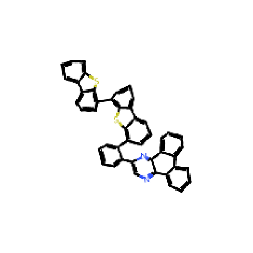 c1ccc(-c2cccc3c2sc2c(-c4cccc5c4sc4ccccc45)cccc23)c(-c2cnc3c4ccccc4c4ccccc4c3n2)c1